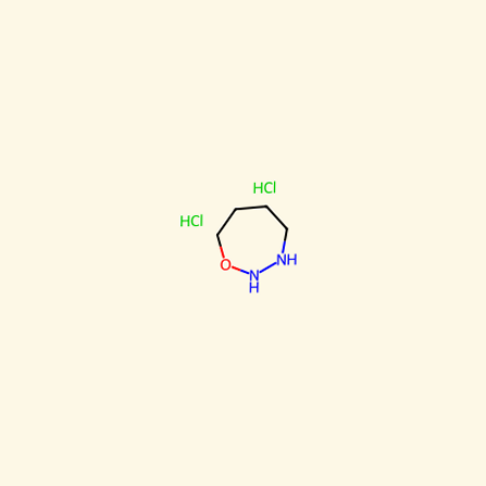 C1CCONNC1.Cl.Cl